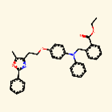 CCOC(=O)c1ccccc1CN(c1ccccc1)c1ccc(OCCc2nc(-c3ccccc3)oc2C)cc1